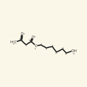 CC(=O)CC(=O)OCCCCCCO